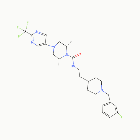 C[C@@H]1CN(c2cnc(C(F)(F)F)nc2)C[C@H](C)N1C(=O)NCCC1CCN(Cc2cccc(F)c2)CC1